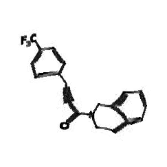 O=C(C#Cc1ccc(C(F)(F)F)cc1)N1CCc2ccccc2C1